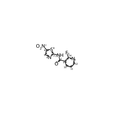 O=C(Nc1ncc([N+](=O)[O-])s1)c1cccnc1F